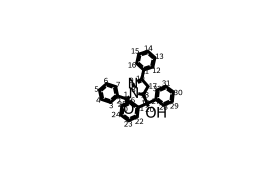 O=C(c1ccccc1)N1N=C(c2ccccc2)CC1C(O)(c1ccccc1)c1ccccc1